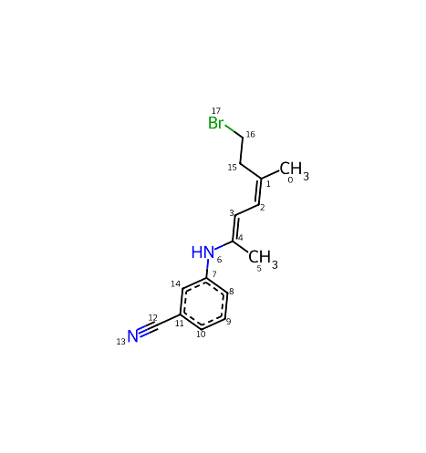 C/C(=C/C=C(\C)Nc1cccc(C#N)c1)CCBr